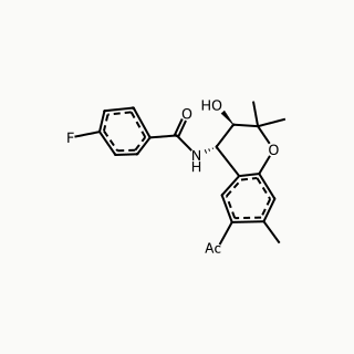 CC(=O)c1cc2c(cc1C)OC(C)(C)[C@H](O)[C@H]2NC(=O)c1ccc(F)cc1